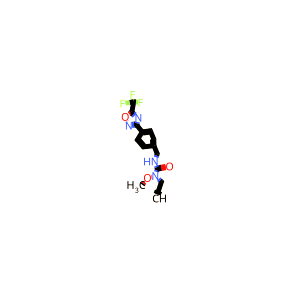 C#CCN(OC)C(=O)NCc1ccc(-c2noc(C(F)(F)F)n2)cc1